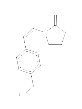 NCc1ccc(/C=C\N2CCCC2=O)cc1